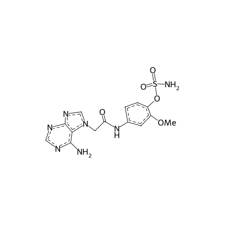 COc1cc(NC(=O)Cn2cnc3ncnc(N)c32)ccc1OS(N)(=O)=O